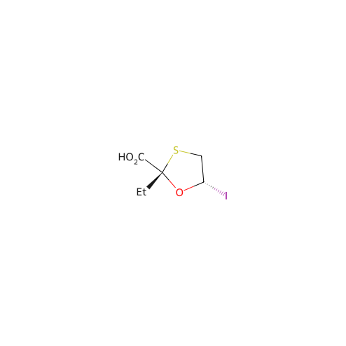 CC[C@]1(C(=O)O)O[C@@H](I)CS1